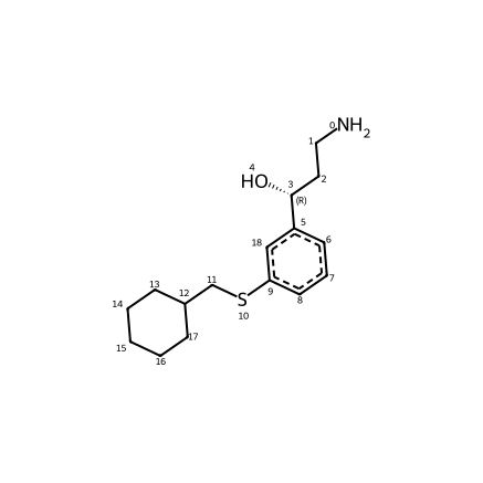 NCC[C@@H](O)c1cccc(SCC2CCCCC2)c1